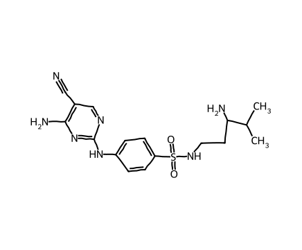 CC(C)C(N)CCNS(=O)(=O)c1ccc(Nc2ncc(C#N)c(N)n2)cc1